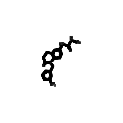 CC(C)(C)NC(=O)Nc1ccc2c(c1)CCC(=O)N2Cc1cccc(C(F)(F)F)c1